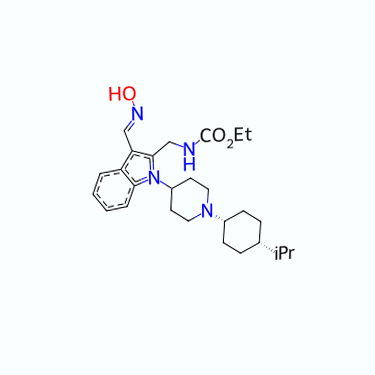 CCOC(=O)NCc1c(/C=N/O)c2ccccc2n1C1CCN([C@H]2CC[C@@H](C(C)C)CC2)CC1